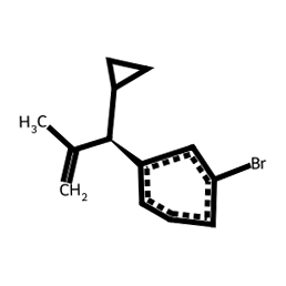 C=C(C)[C@H](c1cccc(Br)c1)C1CC1